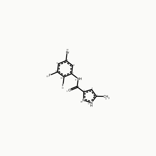 Cc1cc(C(=O)Nc2cc(Br)cc(F)c2F)n[nH]1